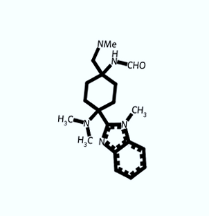 CNCC1(NC=O)CCC(c2nc3ccccc3n2C)(N(C)C)CC1